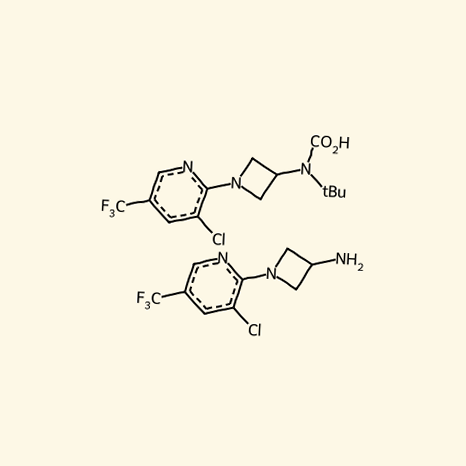 CC(C)(C)N(C(=O)O)C1CN(c2ncc(C(F)(F)F)cc2Cl)C1.NC1CN(c2ncc(C(F)(F)F)cc2Cl)C1